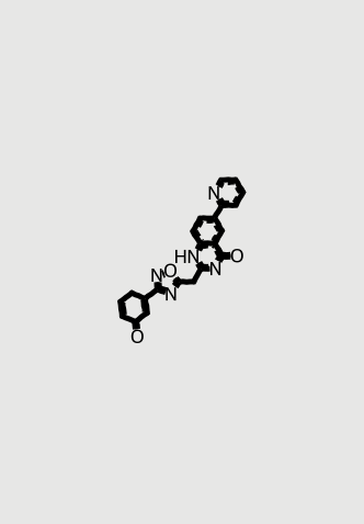 O=C1C=CCC(c2noc(Cc3nc(=O)c4cc(-c5ccccn5)ccc4[nH]3)n2)=C1